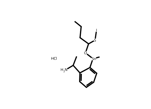 CCCC([O][Sn]([CH3])[c]1ccccc1C(C)N)SI.Cl